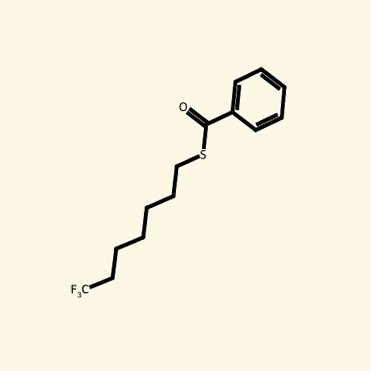 O=C(SCCCCCCC(F)(F)F)c1ccccc1